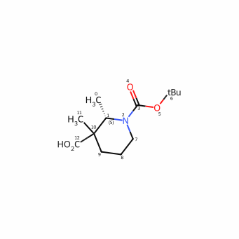 C[C@@H]1N(C(=O)OC(C)(C)C)CCCC1(C)C(=O)O